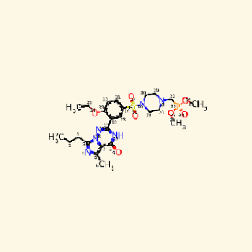 CCCc1nc(C)c2c(=O)[nH]c(-c3cc(S(=O)(=O)N4CCN(CP(=O)(OC)OC)CC4)ccc3OCC)nn12